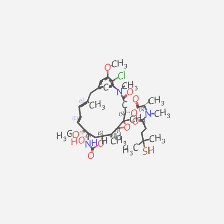 COc1cc2cc(c1Cl)N(C)C(=O)C[C@H](OC(=O)[C@H](C)N(C)C(=O)CCC(C)(C)S)C1(C)O[C@H]1[C@H](C)[C@@H]1C[C@@](O)(NC(=O)O1)[C@H](OC)/C=C/C=C(\C)C2